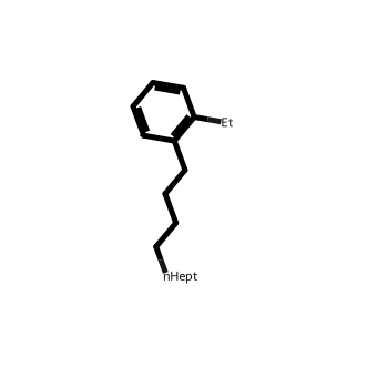 CCCCCCCCCCCc1[c]cccc1CC